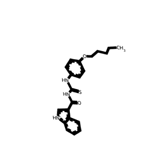 CCCCCOc1ccc(NC(=S)NC(=O)c2c[nH]c3ccccc23)cc1